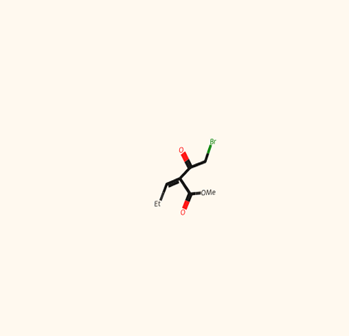 CCC=C(C(=O)CBr)C(=O)OC